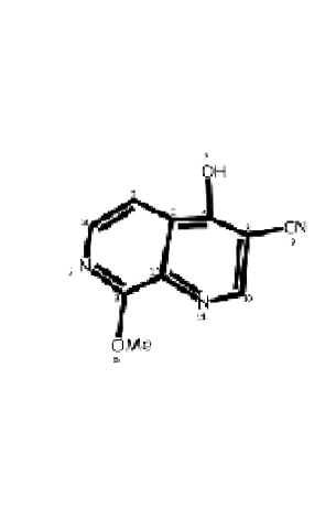 COc1nccc2c(O)c(C#N)cnc12